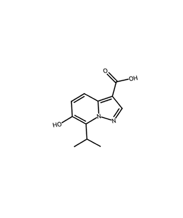 CC(C)c1c(O)ccc2c(C(=O)O)cnn12